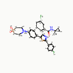 N#CC1(NC(=O)[C@@H]2C[C@@H](F)CC[C@H]2c2nc(-c3ccc(F)cc3)sc2-c2ccc(N3CCS(=O)(=O)CC3)cc2)CC1